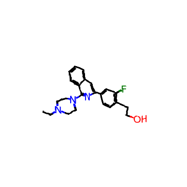 CCN1CCN(c2nc(-c3ccc(CCO)c(F)c3)cc3ccccc23)CC1